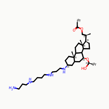 CC(C)C(=O)OC[C@@H](C)[C@H]1CCC2C3C(CC[C@@]21C)[C@@]1(C)CC[C@H](NCCCNCCCCNCCCN)CC1C[C@@H]3O[C@H](O)C(C)C